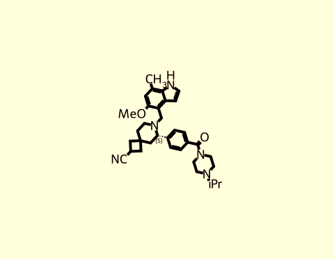 COc1cc(C)c2[nH]ccc2c1CN1CCC2(CC(C#N)C2)C[C@H]1c1ccc(C(=O)N2CCN(C(C)C)CC2)cc1